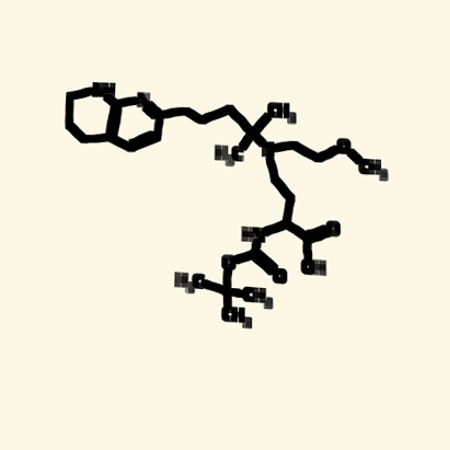 COCCN(CCC(NC(=O)OC(C)(C)C)C(=O)O)C(C)(C)CCCc1ccc2c(n1)NCCC2